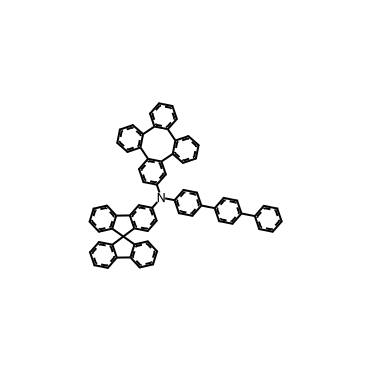 c1ccc(-c2ccc(-c3ccc(N(c4ccc5c(c4)-c4ccccc4-c4ccccc4-c4ccccc4-5)c4ccc5c(c4)-c4ccccc4C54c5ccccc5-c5ccccc54)cc3)cc2)cc1